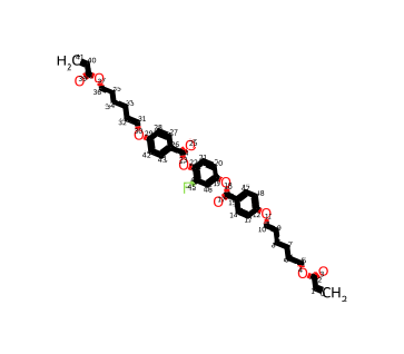 C=CC(=O)OCCCCCCOc1ccc(C(=O)Oc2ccc(OC(=O)c3ccc(OCCCCCCOC(=O)C=C)cc3)c(F)c2)cc1